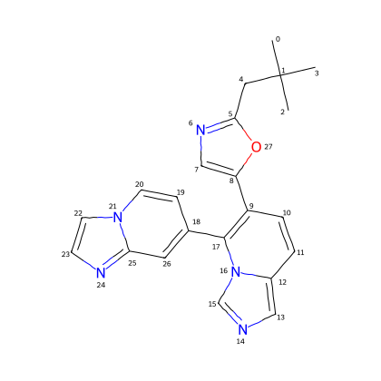 CC(C)(C)Cc1ncc(-c2ccc3cncn3c2-c2ccn3ccnc3c2)o1